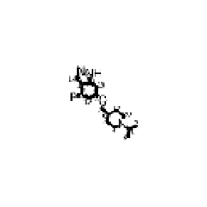 CC(C)N1CCC(COc2cc(F)c3cn[nH]c3c2)CC1